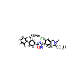 COCc1cc(-c2nc(-c3ccc(CN(C)C(C(=O)O)C(C)(C)C)cc3Cl)no2)ccc1-c1ccccc1C